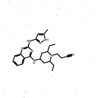 CCC1CC(Nc2nc(Nc3cc(C)[nH]n3)nc3ccccc23)CC(CC)N1CCC#N